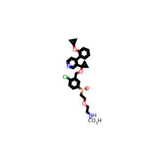 O=C(O)NCCOCC[S+]([O-])c1ccc(Cl)c(COC2(c3cnccc3-c3ccccc3OC3CC3)CC2)c1